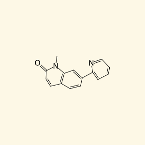 Cn1c(=O)ccc2ccc(-c3ccccn3)cc21